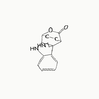 O=C1OC2CCC1C13CCNC21Nc1ccccc13